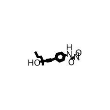 CCCC(C)(O)C#Cc1ccc(NC(=O)N(C)OC)cc1